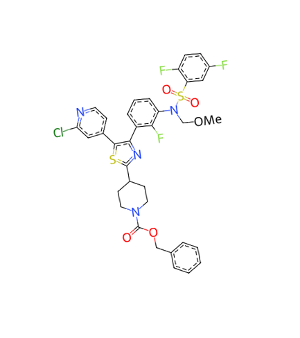 COCN(c1cccc(-c2nc(C3CCN(C(=O)OCc4ccccc4)CC3)sc2-c2ccnc(Cl)c2)c1F)S(=O)(=O)c1cc(F)ccc1F